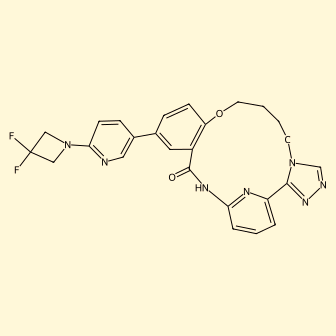 O=C1Nc2cccc(n2)-c2nncn2CCCCOc2ccc(-c3ccc(N4CC(F)(F)C4)nc3)cc21